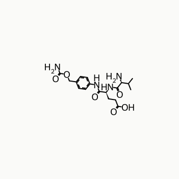 CC(C)[C@H](N)C(=O)N[C@@H](CCC(=O)O)C(=O)Nc1ccc(COC(N)=O)cc1